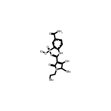 CCOP1(=O)N=C(C2=C(O)C(C(C)(C)C)N(CCC(C)(C)C)C2=O)Nc2ccc(C(N)=O)cc21